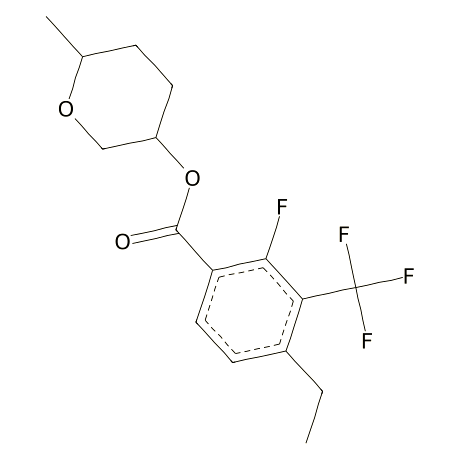 CCc1ccc(C(=O)OC2CCC(C)OC2)c(F)c1C(F)(F)F